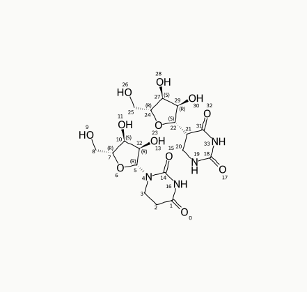 O=C1CCN([C@@H]2O[C@H](CO)[C@@H](O)[C@H]2O)C(=O)N1.O=C1NCC([C@@H]2O[C@H](CO)[C@@H](O)[C@H]2O)C(=O)N1